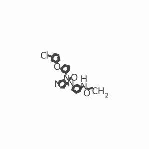 C=CC(=O)Nc1cccc(-n2c(=O)n(-c3cccc(Oc4cccc(Cl)c4)c3)c3cnccc32)c1